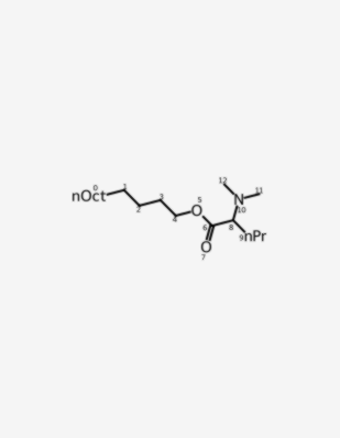 CCCCCCCCCCCCOC(=O)C(CCC)N(C)C